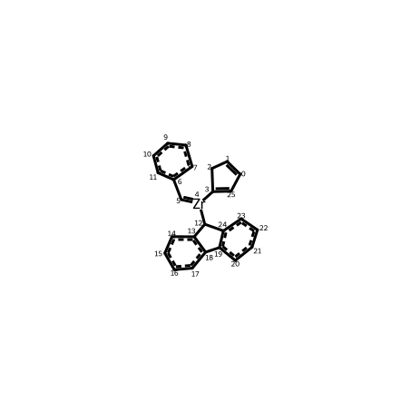 C1=CC[C](/[Zr](=[CH]\c2ccccc2)[CH]2c3ccccc3-c3ccccc32)=C1